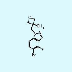 CC1(Cn2ncc3c(F)c(Br)ccc32)COC1